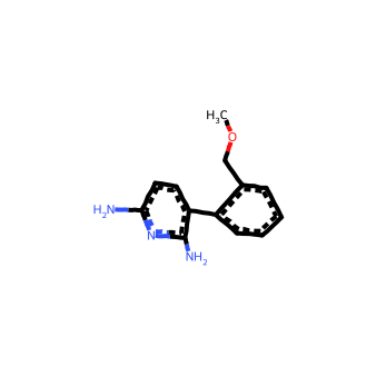 COCc1ccccc1-c1ccc(N)nc1N